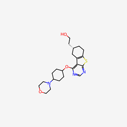 OCC[C@@H]1CCc2sc3ncnc(OC4CCC(N5CCOCC5)CC4)c3c2C1